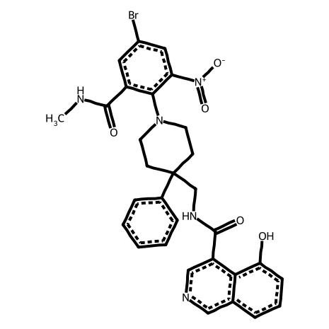 CNC(=O)c1cc(Br)cc([N+](=O)[O-])c1N1CCC(CNC(=O)c2cncc3cccc(O)c23)(c2ccccc2)CC1